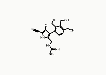 N#Cc1[nH]c(CNC(=N)N)c(-c2ccc(CO)c(CO)c2CO)c1Cl